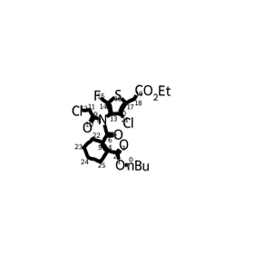 CCCCOC(=O)C1=C(C(=O)N(C(=O)CCl)c2c(F)sc(CC(=O)OCC)c2Cl)CCCC1